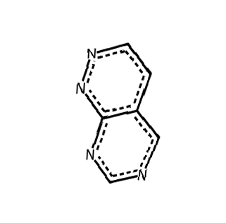 c1cc2cncnc2nn1